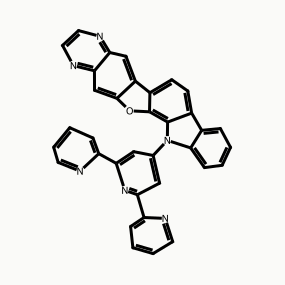 c1ccc(-c2cc(-n3c4ccccc4c4ccc5c6cc7nccnc7cc6oc5c43)cc(-c3ccccn3)n2)nc1